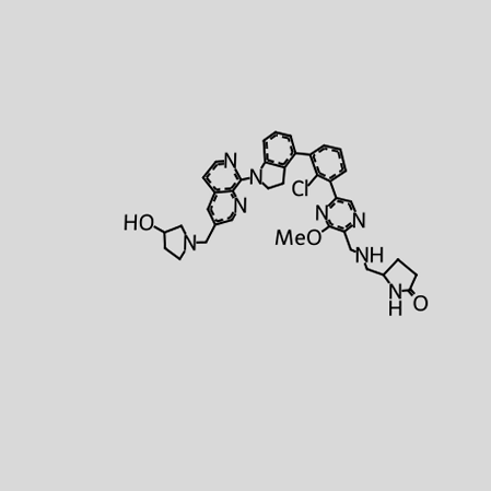 COc1nc(-c2cccc(-c3cccc4c3CCN4c3nccc4cc(CN5CCC(O)C5)cnc34)c2Cl)cnc1CNCC1CCC(=O)N1